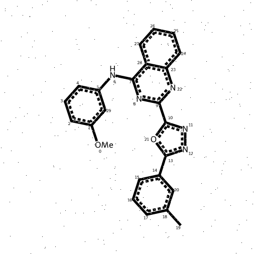 COc1cccc(Nc2nc(-c3nnc(-c4cccc(C)c4)o3)nc3ccccc23)c1